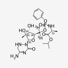 [2H]C([2H])(O[P@@](=O)(N[C@@H](C)C(=O)OC(C)C)Oc1ccccc1)[C@H]1O[C@@H](N2NCC(N)=NC2=O)[C@](C)(O)[C@@H]1O